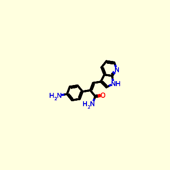 NC(=O)/C(=C\c1c[nH]c2ncccc12)c1ccc(N)cc1